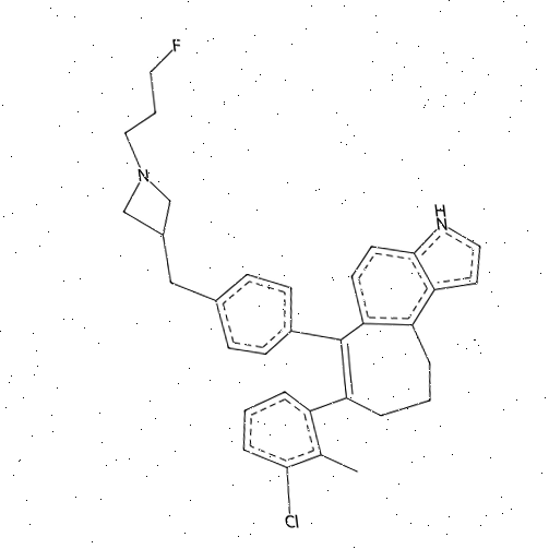 Cc1c(Cl)cccc1C1=C(c2ccc(CC3CN(CCCF)C3)cc2)c2ccc3[nH]ccc3c2CCC1